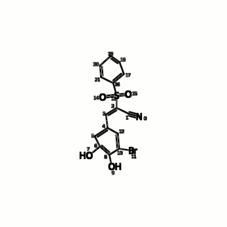 N#C/C(=C\c1cc(O)c(O)c(Br)c1)S(=O)(=O)c1ccccc1